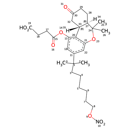 CC(C)(CCCCCCO[N+](=O)[O-])c1cc(OC(=O)CCC(=O)O)c2c(c1)OC(C)(C)[C@@H]1CCC(=O)C[C@@H]21